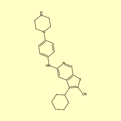 N#Cc1sc2cnc(Nc3ccc(N4CCNCC4)cc3)cc2c1C1CCCCC1